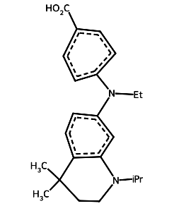 CCN(c1ccc(C(=O)O)cc1)c1ccc2c(c1)N(C(C)C)CCC2(C)C